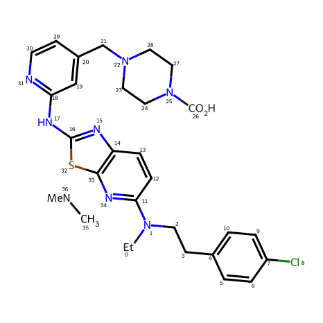 CCN(CCc1ccc(Cl)cc1)c1ccc2nc(Nc3cc(CN4CCN(C(=O)O)CC4)ccn3)sc2n1.CNC